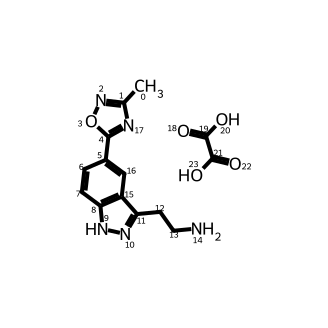 Cc1noc(-c2ccc3[nH]nc(CCN)c3c2)n1.O=C(O)C(=O)O